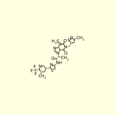 Cc1cc(Cn2c(=O)c3c(ncn3C(C)C(=O)Nc3csc(-c4cnc(C(F)(F)F)c(C)c4)n3)n(C)c2=O)no1